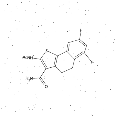 CC(=O)Nc1sc2c(c1C(N)=O)CCc1c(F)cc(F)cc1-2